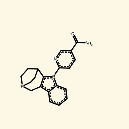 NC(=O)c1ccc(-n2c3c(c4ccccc42)CN2CCC3CC2)nc1